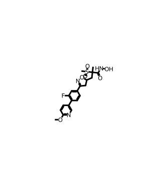 COc1ccc(-c2ccc(C3=NOC(CC(C)(C(=O)NO)S(C)(=O)=O)C3)cc2F)cn1